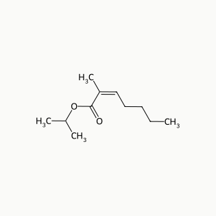 CCCCC=C(C)C(=O)OC(C)C